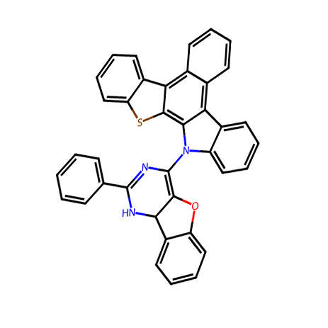 c1ccc(C2=NC(n3c4ccccc4c4c5ccccc5c5c6ccccc6sc5c43)=C3Oc4ccccc4C3N2)cc1